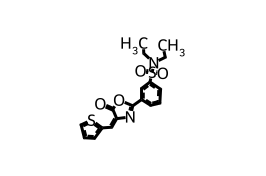 CCN(CC)S(=O)(=O)c1cccc(C2=NC(=Cc3cccs3)C(=O)O2)c1